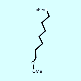 CCCCCCCCCCCCOOC